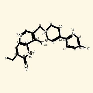 CCc1cc2ncc(CN3CC=C(c4ccc(F)cn4)CC3)c(F)c2[nH]c1=O